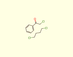 ClCCCCCl.O=C(CCl)c1ccccc1